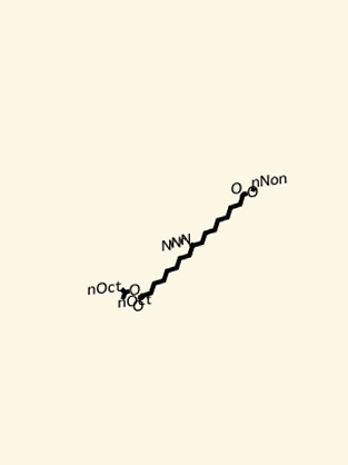 CCCCCCCCCOC(=O)CCCCCCCC(CCCCCCCC(=O)OC(CCCCCCCC)CCCCCCCC)N=[N+]=[N-]